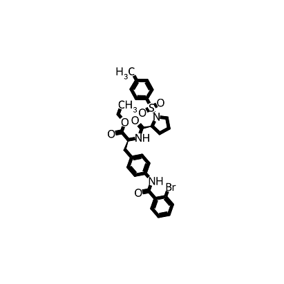 CCOC(=O)[C@H](Cc1ccc(NC(=O)c2ccccc2Br)cc1)NC(=O)[C@@H]1CCCN1S(=O)(=O)c1ccc(C)cc1